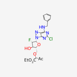 CCOC(=O)C(OC[C@H]1O[C@@H](n2cnc3c(NCc4ccccc4)nc(Cl)nc32)[C@@H](F)[C@@H]1O)C(C)=O